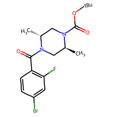 C[C@@H]1CN(C(=O)OC(C)(C)C)[C@@H](C)CN1C(=O)c1ccc(Br)cc1F